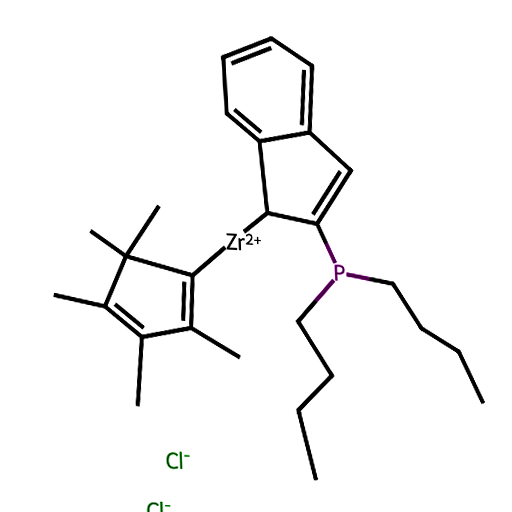 CCCCP(CCCC)C1=Cc2ccccc2[CH]1[Zr+2][C]1=C(C)C(C)=C(C)C1(C)C.[Cl-].[Cl-]